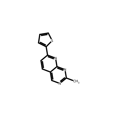 Cc1ncc2ccc(-c3cccs3)nc2n1